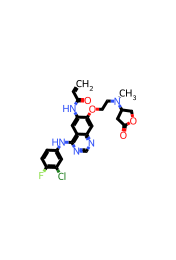 C=CC(=O)Nc1cc2c(Nc3ccc(F)c(Cl)c3)ncnc2cc1OCCN(C)C1COC(=O)C1